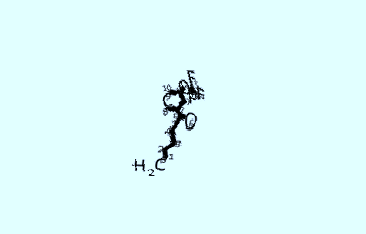 [CH2]CCCCC(=O)c1cccc(OC(F)(F)F)c1